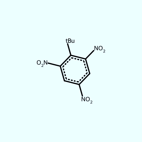 CC(C)(C)c1c([N+](=O)[O-])cc([N+](=O)[O-])cc1[N+](=O)[O-]